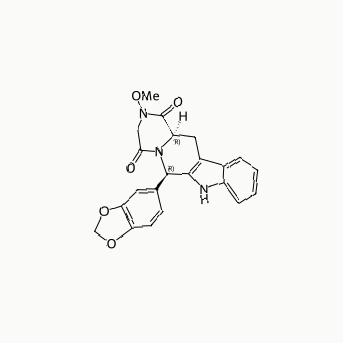 CON1CC(=O)N2[C@H](c3ccc4c(c3)OCO4)c3[nH]c4ccccc4c3C[C@@H]2C1=O